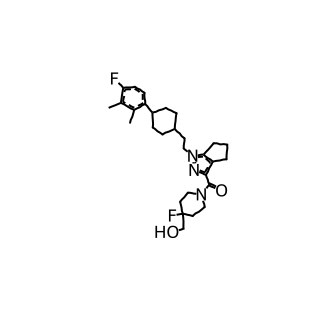 Cc1c(F)ccc(C2CCC(CCn3nc(C(=O)N4CCC(F)(CO)CC4)c4c3CCC4)CC2)c1C